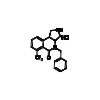 Cl.O=C1c2c(cccc2C(F)(F)F)C2CNCC2N1Cc1ccccc1